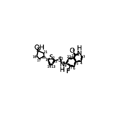 O=c1[nH]ccc2cc(F)c(NSc3ccc([C@@H]4CCC(O)C4)s3)cc12